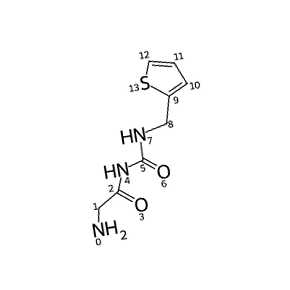 NCC(=O)NC(=O)NCc1cccs1